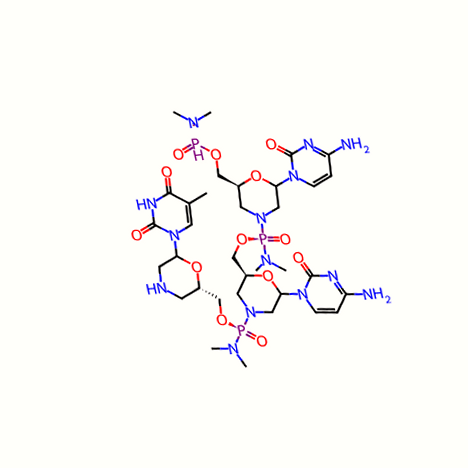 Cc1cn(C2CNC[C@@H](CO[P@@](=O)(N(C)C)N3CC(n4ccc(N)nc4=O)O[C@H](CO[P@@](=O)(N(C)C)N4CC(n5ccc(N)nc5=O)O[C@H](CO[PH](=O)N(C)C)C4)C3)O2)c(=O)[nH]c1=O